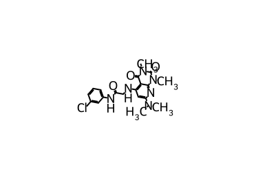 CN(C)c1cc(NCC(=O)Nc2cccc(Cl)c2)c2c(=O)n(C)c(=O)n(C)c2n1